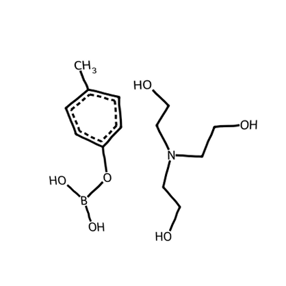 Cc1ccc(OB(O)O)cc1.OCCN(CCO)CCO